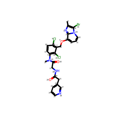 Cc1nc2c(OCc3c(Cl)ccc(N(C)C(=O)CNC(=O)Cc4cccnc4)c3Cl)cccn2c1Br